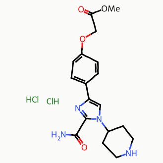 COC(=O)COc1ccc(-c2cn(C3CCNCC3)c(C(N)=O)n2)cc1.Cl.Cl